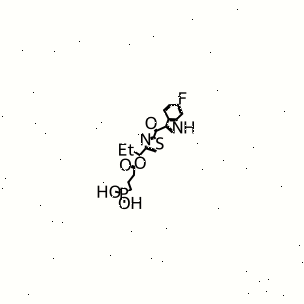 CCC(OC(=O)CCCP(O)O)c1csc(C(=O)c2c[nH]c3cc(F)ccc23)n1